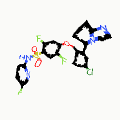 O=S(=O)(Nc1ccc(F)cn1)c1cc(F)c(Oc2ccc(Cl)cc2-c2cccc3nccn23)cc1F